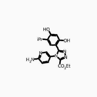 CCOC(=O)c1nnc(-c2cc(C(C)C)c(O)cc2O)n1-c1ccc(N)nc1